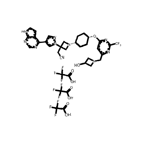 N#CCC1(n2cc(-c3ncnc4[nH]ccc34)cn2)CN([C@H]2CC[C@@H](Oc3cc(CN4CC(O)C4)nc(C(F)(F)F)n3)CC2)C1.O=C(O)C(F)(F)F.O=C(O)C(F)(F)F.O=C(O)C(F)(F)F